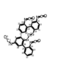 O=C=Nc1ccc(SOSc2ccc(N=C=O)cc2-c2ccccc2N=C=O)c(-c2ccccc2N=C=O)c1